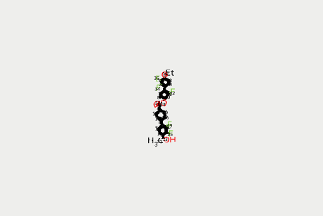 CCOc1ccc(-c2ccc(OC(=O)C3CC=C(c4ccc(C(C)O)c(F)c4F)CC3)cc2F)c(F)c1F